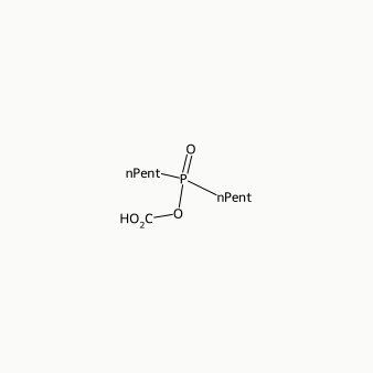 CCCCCP(=O)(CCCCC)OC(=O)O